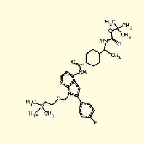 CC(NC(=O)OC(C)(C)C)[C@H]1CC[C@H](C(=O)Nc2ccnc3c2cc(-c2ccc(F)cc2)n3COCC[Si](C)(C)C)CC1